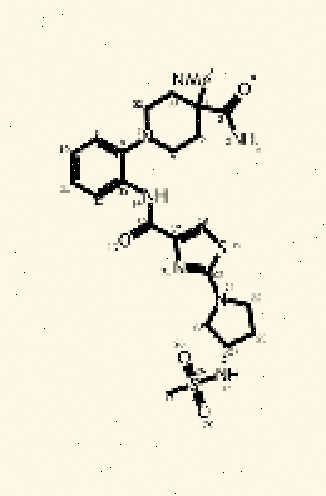 CNC1(C(N)=O)CCN(c2ccccc2NC(=O)c2csc(N3CC[C@H](NS(C)(=O)=O)C3)n2)CC1